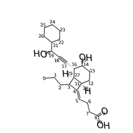 CCCC1/C(=C/CCC(=O)O)[C@@H]2CC[C@H](O)[C@@H](C#CC(O)C3CCCCC3)[C@H]12